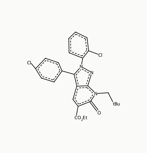 CCOC(=O)c1cc2c(-c3ccc(Cl)cc3)n(-c3ccccc3Cl)nc2n(CC(C)(C)C)c1=O